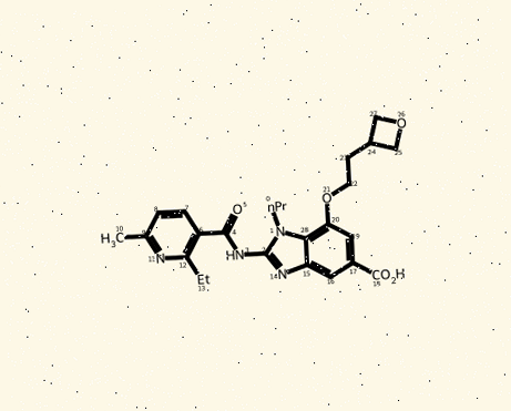 CCCn1c(NC(=O)c2ccc(C)nc2CC)nc2cc(C(=O)O)cc(OCCC3COC3)c21